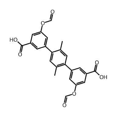 Cc1cc(-c2cc(OC=O)cc(C(=O)O)c2)c(C)cc1-c1cc(OC=O)cc(C(=O)O)c1